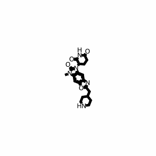 Cn1c(=O)n(C2CCC(=O)NC2=O)c2cc3nc(CC4CCNCC4)oc3cc21